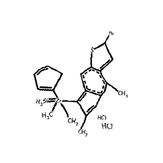 CC1=Cc2c(C)c3c(cc2=[C]1[Zr]([CH3])([CH3])(=[SiH2])[C]1=CC=CC1)SC(Br)C=3.Cl.Cl